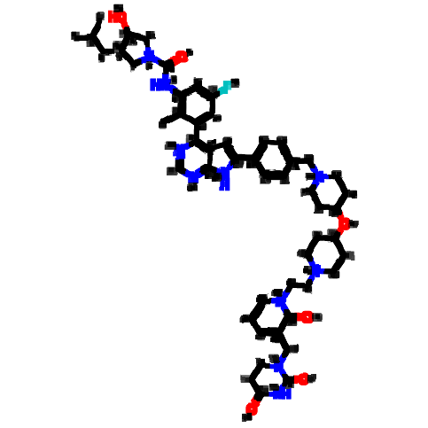 Cc1c(NC(=O)N2C[C@H](CC(C)C)[C@@H](O)C2)cc(F)cc1-c1ncnc2[nH]c(-c3ccc(CN4CCC(OC5CCN(CCn6cccc(CN7CCC(=O)NC7=O)c6=O)CC5)CC4)cc3)cc12